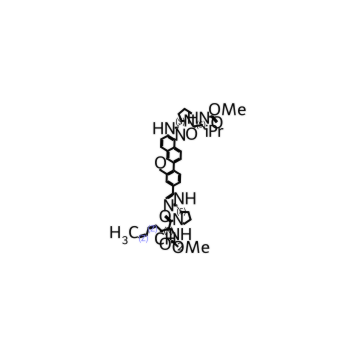 C=C(/C=C\C=C/C)[C@@H](NC(=O)OC)C(=O)N1CCC[C@H]1c1ncc(-c2ccc3c(c2)COc2c-3ccc3c2ccc2[nH]c([C@@H]4CCCN4C(=O)[C@@H](NC(=O)OC)C(C)C)nc23)[nH]1